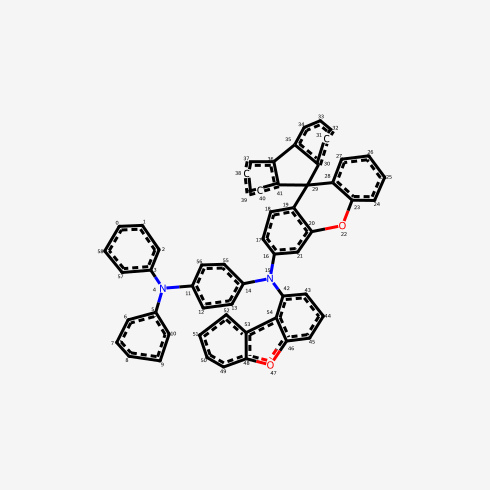 c1ccc(N(c2ccccc2)c2ccc(N(c3ccc4c(c3)Oc3ccccc3C43c4ccccc4-c4ccccc43)c3cccc4oc5ccccc5c34)cc2)cc1